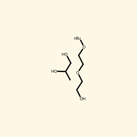 CC(O)CO.CCCCOCCOCCO